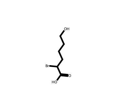 O=C(O)C(Br)CCCCO